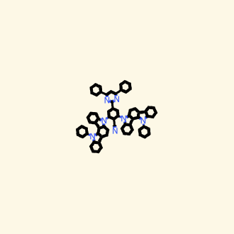 N#Cc1c(-n2c3ccccc3c3c2ccc2c4ccccc4n(-c4ccccc4)c23)cc(-c2nc(-c3ccccc3)cc(-c3ccccc3)n2)cc1-n1c2ccccc2c2c1ccc1c3ccccc3n(-c3ccccc3)c12